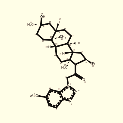 COc1ccc2nnn(CC(=O)C3[C@H](C(C)C)C[C@H]4[C@@H]5CC[C@H]6C[C@](C)(O)CC[C@]6(C)[C@H]5CC[C@]34C)c2c1